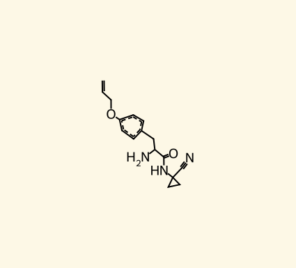 C=CCOc1ccc(CC(N)C(=O)NC2(C#N)CC2)cc1